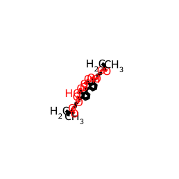 C=C(C)C(=O)OCCOC(=O)c1cccc(C(=O)c2cccc(C(=O)OCCOC(=O)C(=C)C)c2C(=O)O)c1C(=O)O